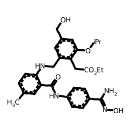 CCOC(=O)Cc1c(CNc2ccc(C)cc2C(=O)Nc2ccc(/C(N)=N/O)cc2)cc(CO)cc1OC(C)C